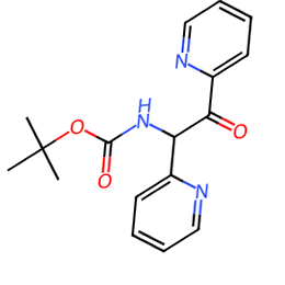 CC(C)(C)OC(=O)NC(C(=O)c1ccccn1)c1ccccn1